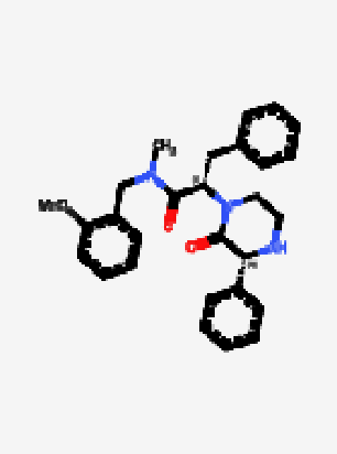 COc1ccccc1CN(C)C(=O)[C@H](Cc1ccccc1)N1CCN[C@H](c2ccccc2)C1=O